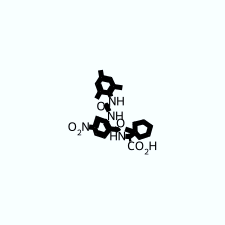 Cc1cc(C)c(NC(=O)Nc2cc([N+](=O)[O-])ccc2C(=O)N[C@H](C(=O)O)C2(C)CCCCC2)c(C)c1